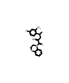 CC(CC(=N)C(=O)N1CCOc2ccccc21)c1ccc(F)cc1C(F)(F)F